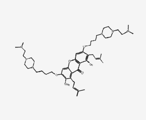 COc1c(OCCCCN2CCN(CCN(C)C)CC2)cc2oc3cc(OCCCCN4CCN(CCN(C)C)CC4)c(CC=C(C)C)c(O)c3c(=O)c2c1CC=C(C)C